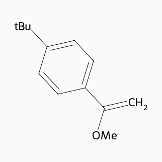 C=C(OC)c1ccc(C(C)(C)C)cc1